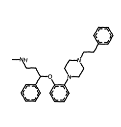 CNCCC(Oc1ccccc1N1CCN(CCc2ccccc2)CC1)c1ccccc1